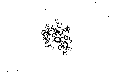 CCOP(=O)(/C=C/[C@H]1C[C@@H](n2ccc(=O)[nH]c2=O)C(OC)C1OP(OCCC#N)N(C(C)C)C(C)C)OCC